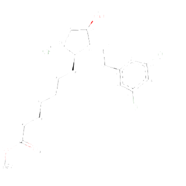 CCCOC(=O)CCCCCC[C@@H]1[C@@H](CCc2cc(Cl)cc(Cl)c2)[C@H](O)C[C@H]1Cl